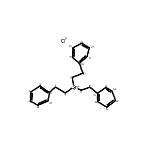 [Cl-].c1ccc(C[CH2][Sn+]([CH2]Cc2ccccc2)[CH2]Cc2ccccc2)cc1